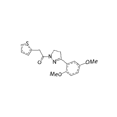 COc1ccc(OC)c(C2=NN(C(=O)Cc3cccs3)CC2)c1